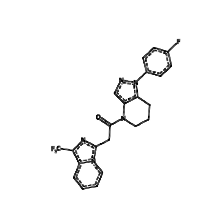 O=C(Cc1nc(C(F)(F)F)c2ccccn12)N1CCCc2c1cnn2-c1ccc(F)cc1